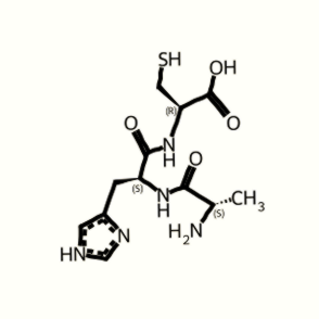 C[C@H](N)C(=O)N[C@@H](Cc1c[nH]cn1)C(=O)N[C@@H](CS)C(=O)O